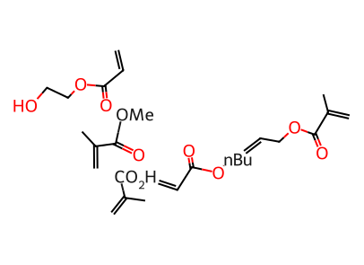 C=C(C)C(=O)O.C=C(C)C(=O)OC.C=CC(=O)OCCCC.C=CC(=O)OCCO.C=CCOC(=O)C(=C)C